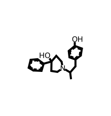 CC(Cc1ccc(O)cc1)N1CCC(O)(c2ccccc2)CC1